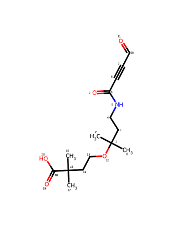 CC(C)(CCNC(=O)C#CC=O)OCCC(C)(C)C(=O)O